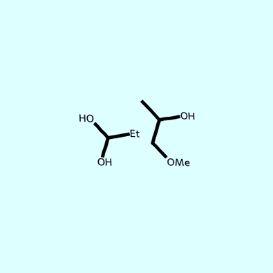 CCC(O)O.COCC(C)O